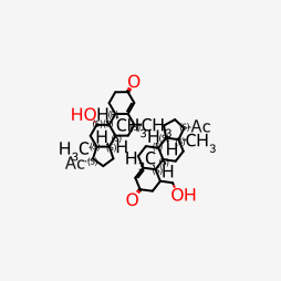 CC(=O)[C@H]1CC[C@H]2[C@@H]3CCC4=CC(=O)CC(CO)[C@]4(C)[C@H]3CC[C@]12C.CC(=O)[C@H]1CC[C@H]2[C@@H]3C[C@H](C)C4=CC(=O)CC[C@]4(C)[C@H]3[C@@H](O)C[C@]12C